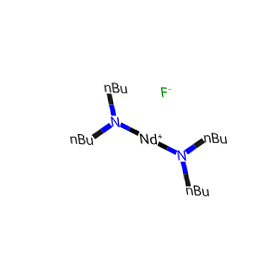 CCCC[N](CCCC)[Nd+][N](CCCC)CCCC.[F-]